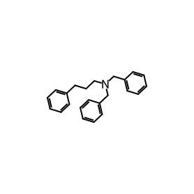 c1ccc(CCCN(Cc2ccccc2)Cc2ccccc2)cc1